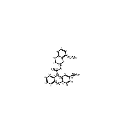 COc1cccc2c1CN(CC(=O)N1c3ccccc3Sc3ccc(SC)cc31)CC2